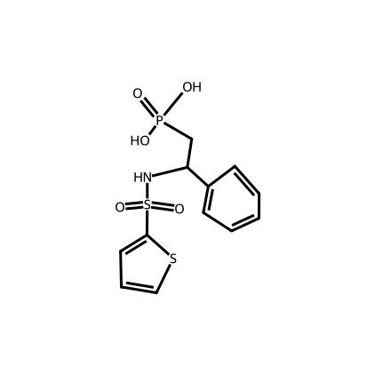 O=P(O)(O)CC(NS(=O)(=O)c1cccs1)c1ccccc1